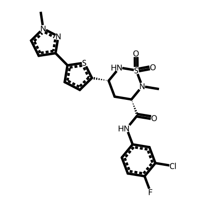 CN1[C@H](C(=O)Nc2ccc(F)c(Cl)c2)C[C@H](c2ccc(-c3ccn(C)n3)s2)NS1(=O)=O